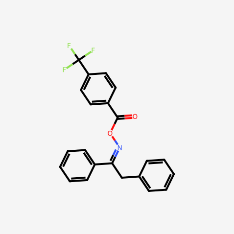 O=C(ON=C(Cc1ccccc1)c1ccccc1)c1ccc(C(F)(F)F)cc1